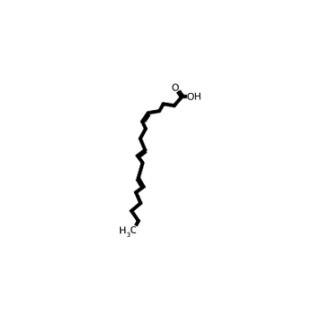 CCCCCC=CCC=CCC/C=C\CCCC(=O)O